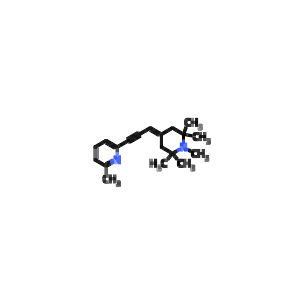 Cc1cccc(C#CC=C2CC(C)(C)N(C)C(C)(C)C2)n1